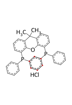 CC1(C)c2cccc(P(c3ccccc3)c3ccccc3)c2Oc2c(P(c3ccccc3)c3ccccc3)cccc21.Cl